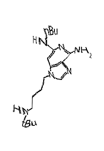 CCCCNc1cc2c(ncn2CCCCNC(C)(C)C)c(N)n1